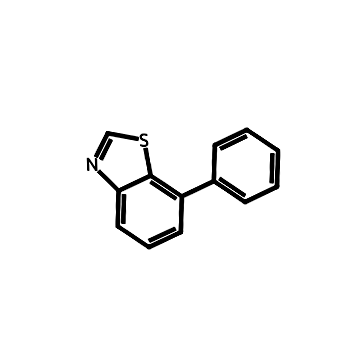 c1ccc(-c2cccc3ncsc23)cc1